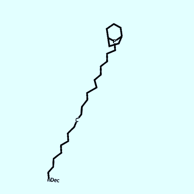 CCCCCCCCCCCCCCCCCCCCCCCCCCCCCCP1C2CCCC1CC2